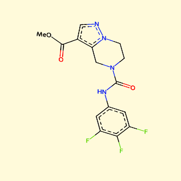 COC(=O)c1cnn2c1CN(C(=O)Nc1cc(F)c(F)c(F)c1)CC2